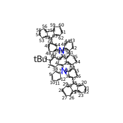 CC(C)(C)c1ccc2c(N(c3ccccc3)c3cccc(C4c5ccccc5-c5ccccc54)c3)c3ccccc3c(N(c3ccccc3)c3cccc(C4c5ccccc5-c5ccccc54)c3)c2c1